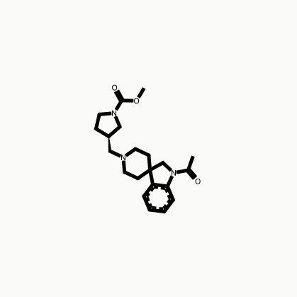 COC(=O)N1CC[C@H](CN2CCC3(CC2)CN(C(C)=O)c2ccccc23)C1